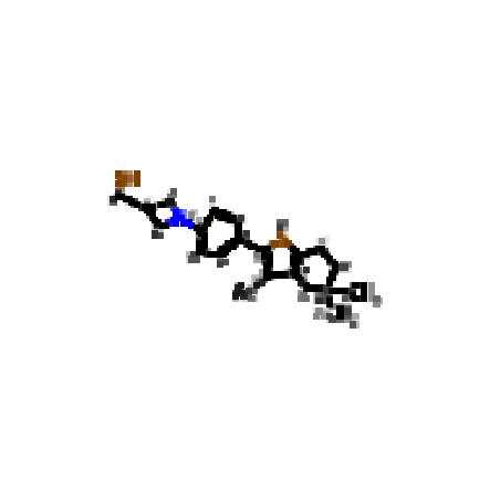 CC(=O)c1c(-c2ccc(N3CC(CS)C3)cc2)sc2c1CC(C)(C)CC2